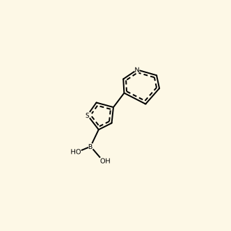 OB(O)c1cc(-c2cccnc2)cs1